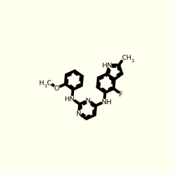 COc1ccccc1Nc1nccc(Nc2ccc3[nH]c(C)cc3c2F)n1